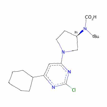 CC(C)(C)N(C(=O)O)[C@@H]1CCN(c2cc(C3CCCCC3)nc(Cl)n2)C1